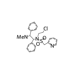 CNC(c1ccccc1)C(c1ccccc1)N(CCCl)S(=O)(=O)Cc1ccccn1